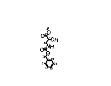 COC(=O)C(O)CNC(=O)OCc1ccccc1